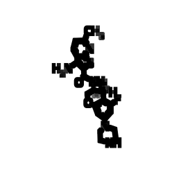 [2H]C1([2H])c2c(F)cc(N3CCNCC3)cc2OC[C@H]1NC(=O)c1sc2nc(C)ccc2c1N